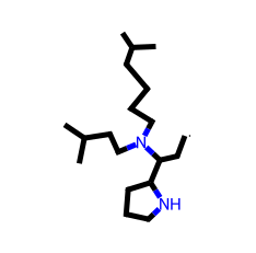 [CH2]CC(C1CCCN1)N(CCCCC(C)C)CCC(C)C